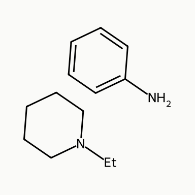 CCN1CCCCC1.Nc1ccccc1